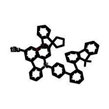 CC(C)(C)c1cc(-c2ccccc2N(c2ccc(-c3ccccc3-c3cccc4c3C(C)(C)c3ccccc3-4)cc2)c2ccc3c(c2)C2(CCCC2)c2ccccc2-3)cc(C(C)(C)C)c1